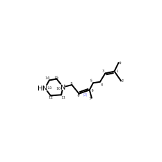 CC(C)=CCC/C(C)=C\CN1CCNCC1